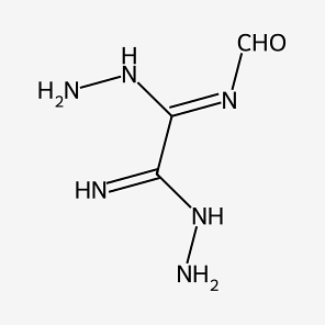 N=C(NN)C(=NC=O)NN